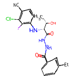 CCc1cccc(C(=O)NNC(=O)[C@H](Nc2ccc(C#N)c(Cl)c2I)[C@H](C)O)c1